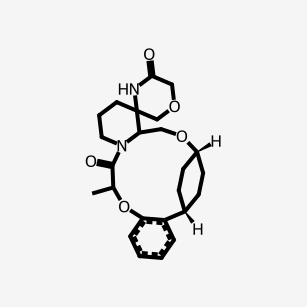 CC1Oc2ccccc2[C@H]2CC[C@H](CC2)OCC2N(CCCC23COCC(=O)N3)C1=O